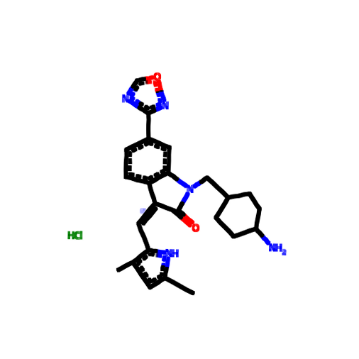 Cc1cc(C)c(/C=C2\C(=O)N(CC3CCC(N)CC3)c3cc(-c4ncon4)ccc32)[nH]1.Cl